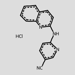 Cl.N#Cc1ccc(Nc2ccc3ccccc3n2)nc1